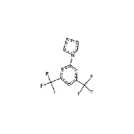 FC(F)(F)c1cc(-n2[c]ccc2)cc(C(F)(F)F)c1